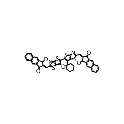 O=C1C(=Cc2nc3sc4c(c3s2)OC2(CCCCC2)c2c-4sc3nc(C=C4C(=O)c5cc6ccccc6cc5C4=O)sc23)C(=O)c2cc3ccccc3cc21